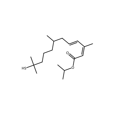 CC(C=CCC(C)CCCC(C)(C)S)=CC(=O)OC(C)C